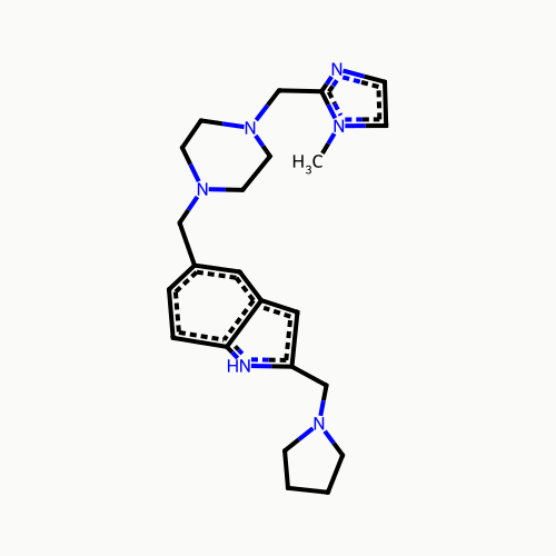 Cn1ccnc1CN1CCN(Cc2ccc3[nH]c(CN4CCCC4)cc3c2)CC1